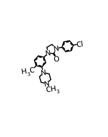 Cc1ccc(N2CCN(c3ccc(Cl)cc3)C2=O)cc1N1CCN(C)CC1